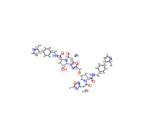 Cc1nc([C@H](C(=O)N2C[C@H](OCc3nnc([C@H](C(=O)N4C[C@H](O)C[C@H]4C(=O)NCc4ccc(-c5scnc5C)cc4)C(C)C)o3)C[C@H]2C(=O)NCc2ccc(-c3scnc3C)cc2)C(C)C)no1